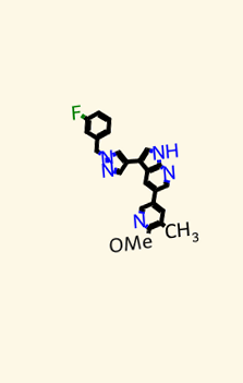 COc1ncc(-c2cnc3[nH]cc(-c4cnn(Cc5cccc(F)c5)c4)c3c2)cc1C